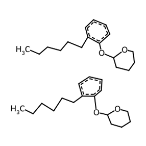 CCCCCCc1ccccc1OC1CCCCO1.CCCCCCc1ccccc1OC1CCCCO1